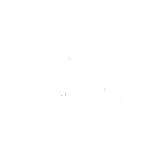 CC(=O)c1ccc(Oc2cc(OC(F)(F)F)ccc2Br)c(N)c1